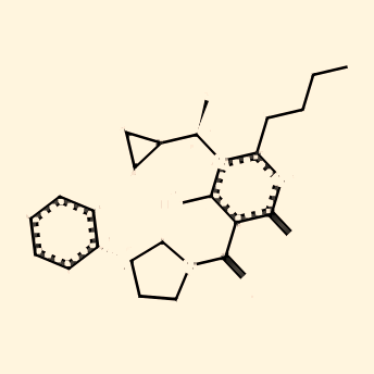 CCCCc1nc(=O)c(C(=O)N2CC[C@H](c3ccccc3)C2)c(O)n1[C@H](C)C1CC1